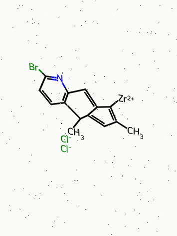 CC1=[C]([Zr+2])C2=Cc3nc(Br)ccc3C(C)C2=C1.[Cl-].[Cl-]